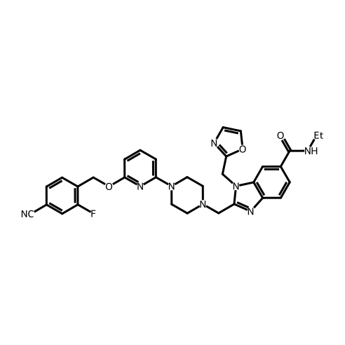 CCNC(=O)c1ccc2nc(CN3CCN(c4cccc(OCc5ccc(C#N)cc5F)n4)CC3)n(Cc3ncco3)c2c1